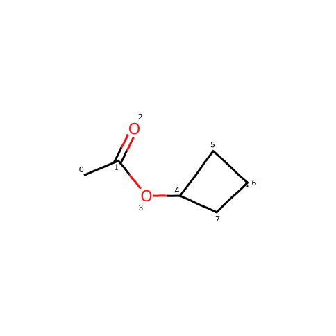 CC(=O)OC1C[CH]C1